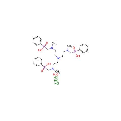 CN(CCN(CCN(C)CP(=O)(O)c1ccccc1)CCN(C)CP(=O)(O)c1ccccc1)CP(=O)(O)c1ccccc1.Cl.Cl.Cl.O